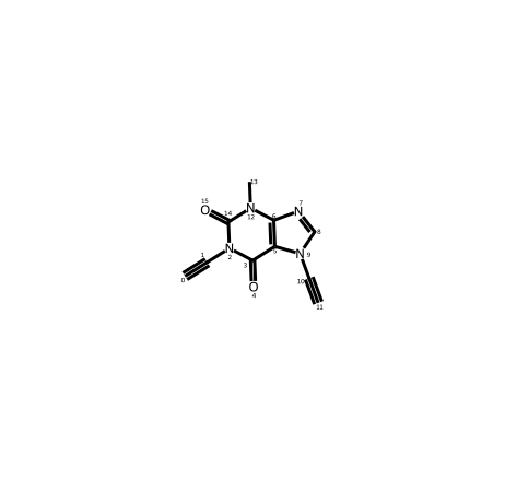 C#Cn1c(=O)c2c(ncn2C#C)n(C)c1=O